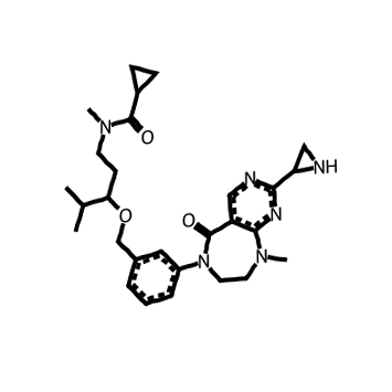 CC(C)C(CCN(C)C(=O)C1CC1)OCc1cccc(N2CCN(C)c3nc(C4CN4)ncc3C2=O)c1